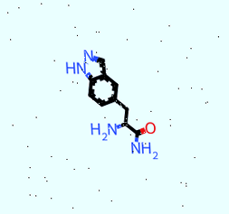 NC(=O)C(N)Cc1ccc2[nH]ncc2c1